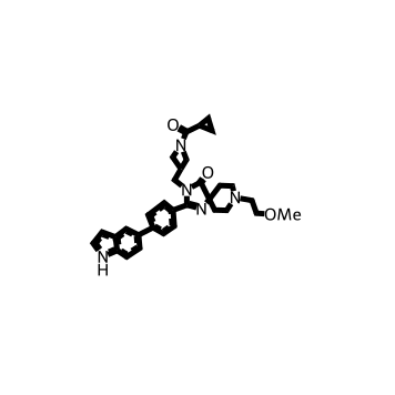 COCCN1CCC2(CC1)N=C(c1ccc(-c3ccc4[nH]ccc4c3)cc1)N(CC1CN(C(=O)C3CC3)C1)C2=O